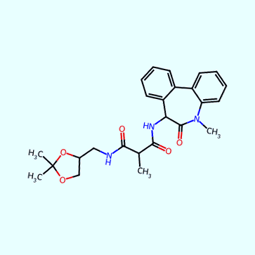 CC(C(=O)NCC1COC(C)(C)O1)C(=O)NC1C(=O)N(C)c2ccccc2-c2ccccc21